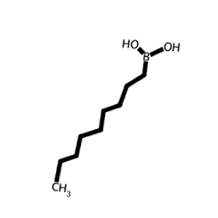 CCCCCCCCCB(O)O